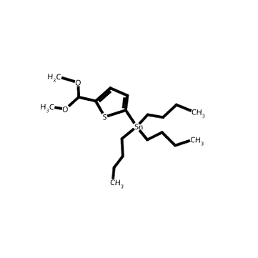 CCC[CH2][Sn]([CH2]CCC)([CH2]CCC)[c]1ccc(C(OC)OC)s1